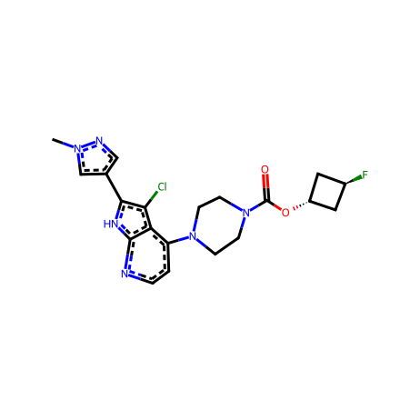 Cn1cc(-c2[nH]c3nccc(N4CCN(C(=O)O[C@H]5C[C@H](F)C5)CC4)c3c2Cl)cn1